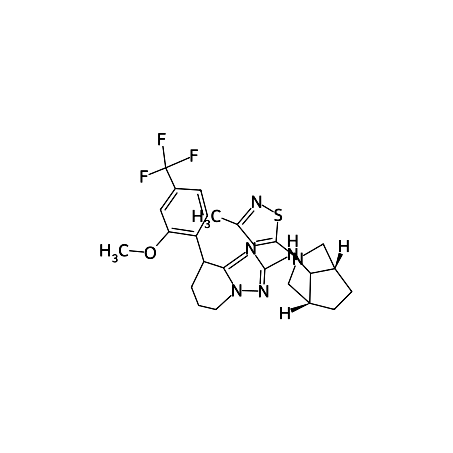 COc1cc(C(F)(F)F)ccc1C1CCCn2nc(NC3[C@@H]4CC[C@H]3CN(c3cc(C)ns3)C4)nc21